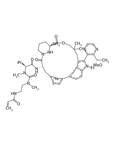 C=CC(=O)NCCN(C)C(=O)N(C)[C@H](C(=O)N[C@H]1Cc2nc(cs2)-c2ccc3c(c2)c(c(-c2cccnc2[C@H](C)OC)n3CC)CC(C)(C)COC(=O)[C@@]2([SiH3])CCCN(N2)C1=O)C(C)C